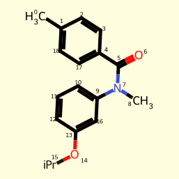 Cc1ccc(C(=O)N(C)c2cccc(OC(C)C)c2)cc1